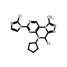 CCC1c2nnc(C)n2-c2cnc(-n3ccnc3Cl)nc2N1C1CCCC1